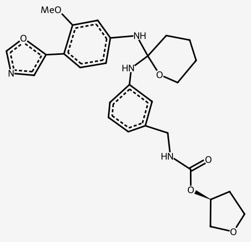 COc1cc(NC2(Nc3cccc(CNC(=O)O[C@H]4CCOC4)c3)CCCCO2)ccc1-c1cnco1